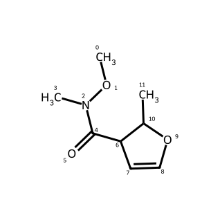 CON(C)C(=O)C1C=COC1C